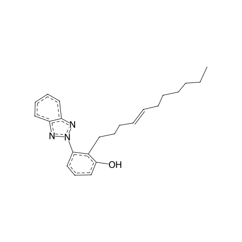 CCCCCCC=CCCCc1c(O)cccc1-n1nc2ccccc2n1